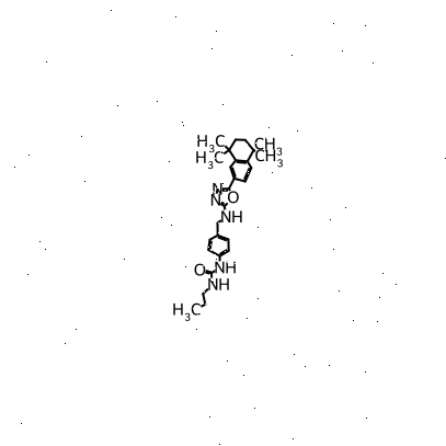 CCCNC(=O)Nc1ccc(CNc2nnc(-c3ccc4c(c3)C(C)(C)CCC4(C)C)o2)cc1